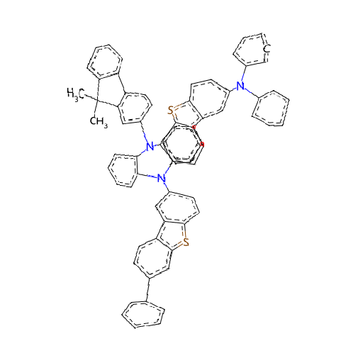 CC1(C)c2ccccc2-c2ccc(N(c3ccccc3)c3ccccc3N(c3ccc4c(c3)sc3ccc(N(c5ccccc5)c5ccccc5)cc34)c3ccc4sc5cc(-c6ccccc6)ccc5c4c3)cc21